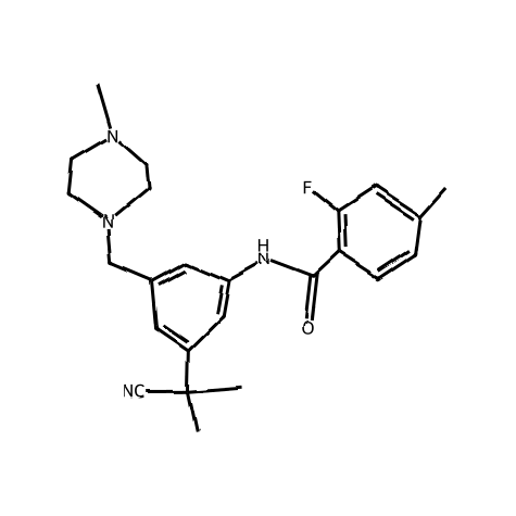 Cc1ccc(C(=O)Nc2cc(CN3CCN(C)CC3)cc(C(C)(C)C#N)c2)c(F)c1